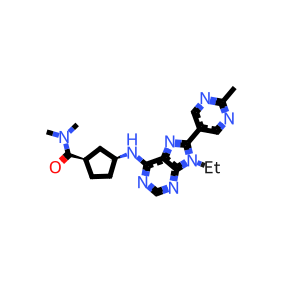 CCn1c(-c2cnc(C)nc2)nc2c(N[C@H]3CC[C@@H](C(=O)N(C)C)C3)ncnc21